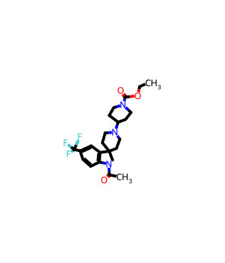 CCOC(=O)N1CCC(N2CCC3(CC2)CN(C(C)=O)c2ccc(C(F)(F)F)cc23)CC1